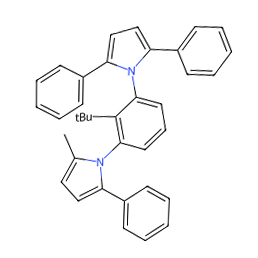 Cc1ccc(-c2ccccc2)n1-c1cccc(-n2c(-c3ccccc3)ccc2-c2ccccc2)c1C(C)(C)C